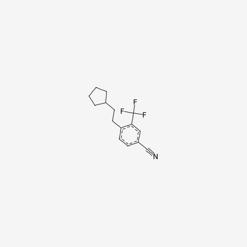 N#Cc1ccc(CCC2CCCC2)c(C(F)(F)F)c1